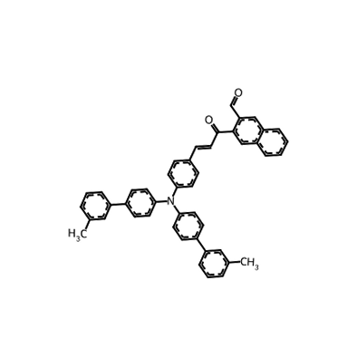 Cc1cccc(-c2ccc(N(c3ccc(C=CC(=O)c4cc5ccccc5cc4C=O)cc3)c3ccc(-c4cccc(C)c4)cc3)cc2)c1